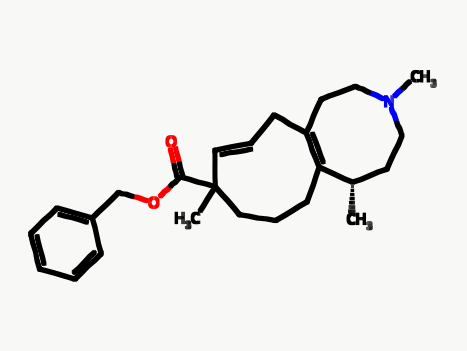 C[C@H]1CCN(C)CC/C2=C\1CCCC(C)(C(=O)OCc1ccccc1)/C=C/C2